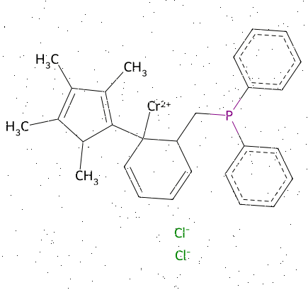 CC1=C(C)C(C)C([C]2([Cr+2])C=CC=CC2CP(c2ccccc2)c2ccccc2)=C1C.[Cl-].[Cl-]